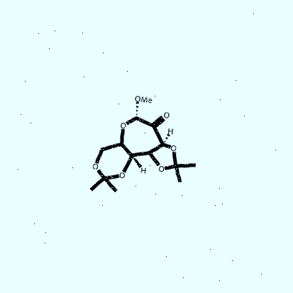 CO[C@H]1OC2COC(C)(C)O[C@H]2C2OC(C)(C)O[C@@H]2C1=O